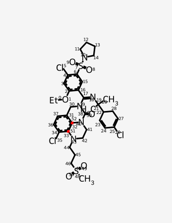 CCOc1cc(Cl)c(S(=O)(=O)N2CCCC2)cc1/C(=N/C(C)(C)C1C=CC(Cl)=CC1)N(Cc1ccc(Cl)cc1)C(=O)N1CCN(CCCS(C)(=O)=O)CC1